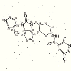 Cc1ncc(Cl)cc1C(=O)NC1CCC(Cn2c(=O)n(-c3ccncc3C#N)c3ccccc32)CC1